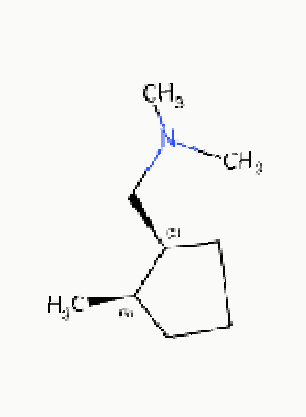 C[C@@H]1CCC[C@@H]1CN(C)C